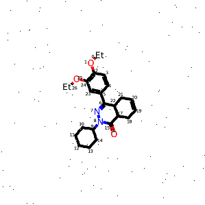 CCOc1ccc(C2=NN(C3CCCCC3)C(=O)C3CC=CCC23)cc1OCC